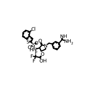 N=C(N)c1cccc(CN2CCC(NS(=O)(=O)c3cc4c(Cl)cccc4s3)C2=O)c1.O=C(O)C(F)(F)F